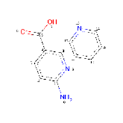 Nc1ccc(C(=O)O)cn1.c1ccncc1